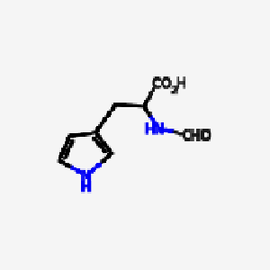 O=CNC(Cc1cc[nH]c1)C(=O)O